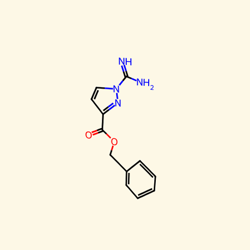 N=C(N)n1ccc(C(=O)OCc2ccccc2)n1